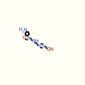 Nc1ccc2c(c1)OCCN2CCNCCCN1CCN(CCO)CC1